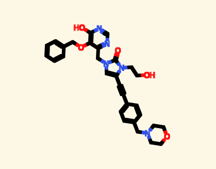 O=c1n(Cc2ncnc(O)c2OCc2ccccc2)cc(C#Cc2ccc(CN3CCOCC3)cc2)n1CCO